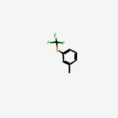 Cc1[c]c(SC(F)(F)F)ccc1